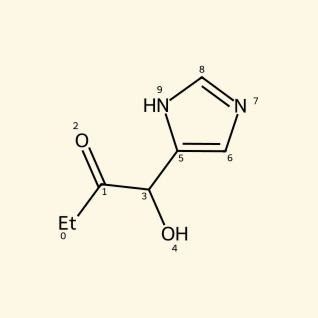 CCC(=O)C(O)c1cnc[nH]1